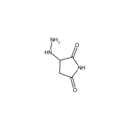 NNC1CC(=O)NC1=O